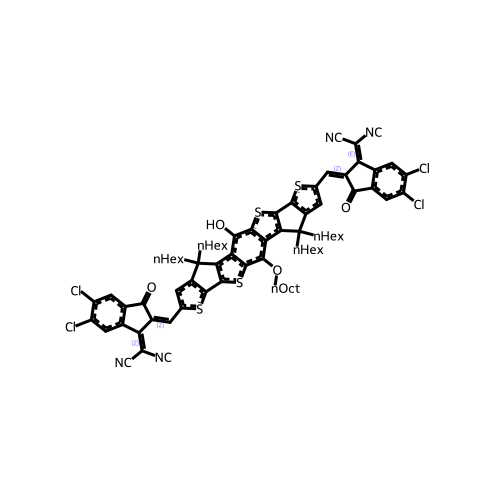 [C-]#[N+]/C(C#N)=C1\C(=C\c2cc3c(s2)-c2sc4c(OCCCCCCCC)c5c6c(sc5c(O)c4c2C3(CCCCCC)CCCCCC)-c2sc(/C=C3\C(=O)c4cc(Cl)c(Cl)cc4\C3=C(\C#N)[N+]#[C-])cc2C6(CCCCCC)CCCCCC)C(=O)c2cc(Cl)c(Cl)cc21